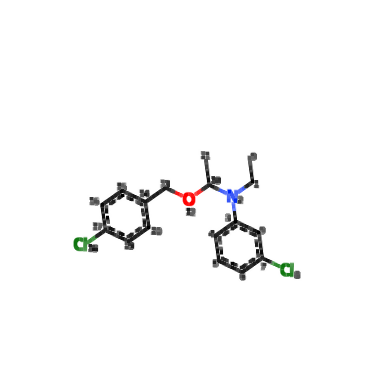 CCN(c1cccc(Cl)c1)C(C)OCc1ccc(Cl)cc1